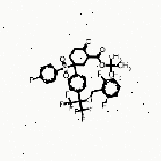 CC(C)(C)OC(=O)C1CC(c2ccc(C(OCc3c(F)cccc3F)(C(F)(F)F)C(F)(F)F)cc2)(S(=O)(=O)c2ccc(F)cc2)CCC1=O